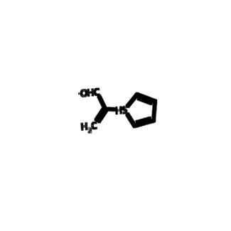 C=C([C]=O)[SH]1C=CC=C1